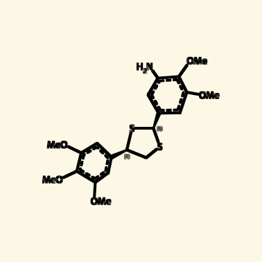 COc1cc([C@H]2SC[C@@H](c3cc(OC)c(OC)c(OC)c3)S2)cc(N)c1OC